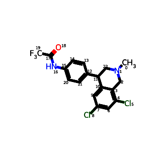 CN1Cc2c(Cl)cc(Cl)cc2C(c2ccc(NC(=O)C(F)(F)F)cc2)C1